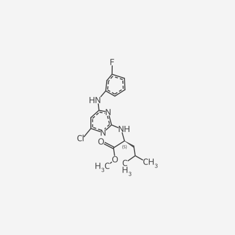 COC(=O)[C@H](CC(C)C)Nc1nc(Cl)cc(Nc2cccc(F)c2)n1